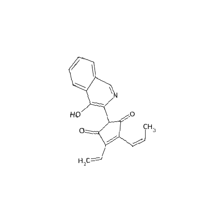 C=CC1=C(/C=C\C)C(=O)C(c2ncc3ccccc3c2O)C1=O